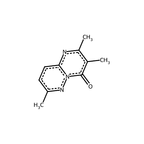 Cc1ccc2nc(C)c(C)c(=O)n2n1